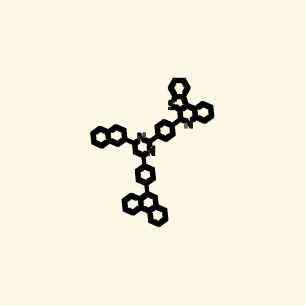 c1ccc2cc(-c3cc(-c4ccc(-c5cc6ccccc6c6ccccc56)cc4)nc(-c4ccc(-c5nc6ccccc6c6c5sc5ccccc56)cc4)n3)ccc2c1